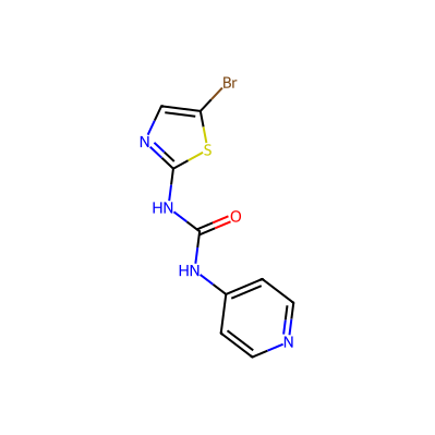 O=C(Nc1ccncc1)Nc1ncc(Br)s1